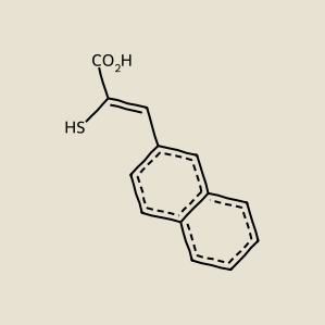 O=C(O)/C(S)=C/c1ccc2ccccc2c1